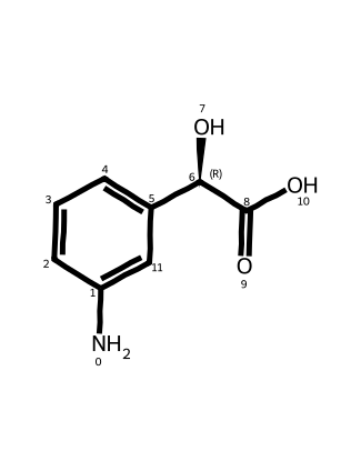 Nc1cccc([C@@H](O)C(=O)O)c1